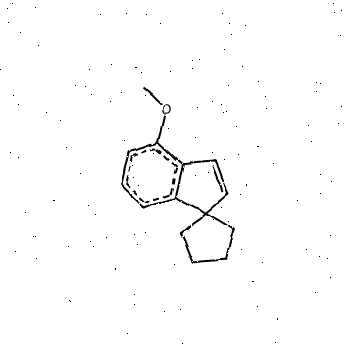 COc1cccc2c1C=CC21CCCC1